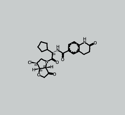 O=C1CCc2cc(C(=O)N[C@H](C(=O)N3C[C@H](Cl)[C@H]4OCC(=O)[C@H]43)C3CCCC3)ccc2N1